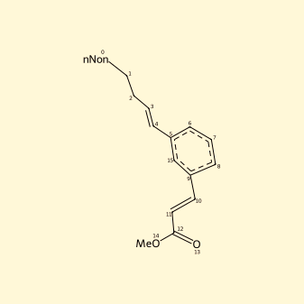 CCCCCCCCCCCC=Cc1cccc(C=CC(=O)OC)c1